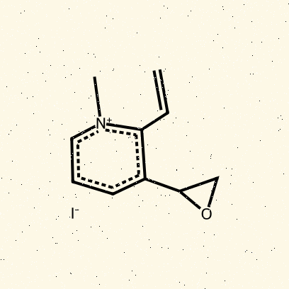 C=Cc1c(C2CO2)ccc[n+]1C.[I-]